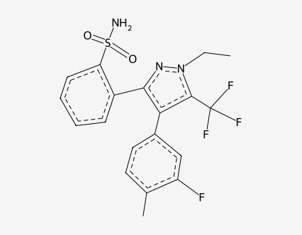 CCn1nc(-c2ccccc2S(N)(=O)=O)c(-c2ccc(C)c(F)c2)c1C(F)(F)F